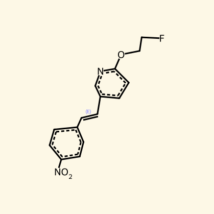 O=[N+]([O-])c1ccc(/C=C/c2ccc(OCCF)nc2)cc1